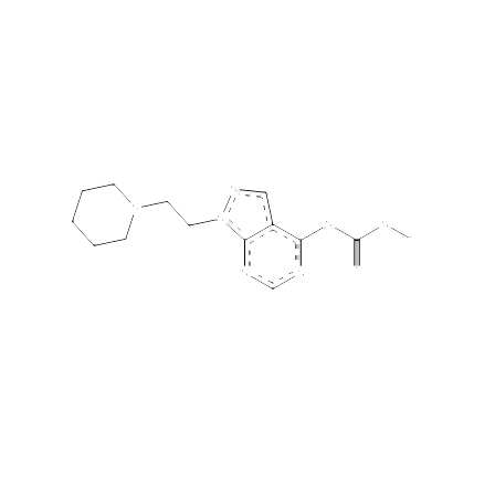 CCNC(=O)Nc1ncnc2c1cnn2CCN1CCCCC1.Cl